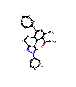 COC(=O)c1c(SC)cc(-c2ccccc2)c2c1-c1cn(-c3ccccc3)nc1CC2